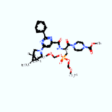 CCCCOC(=O)N1CCN(C(=O)[C@H](CP(=O)(OCOC(=O)OCC)OCOC(=O)OCC)NC(=O)c2cc(N3C[C@@H]4[C@H](C3)[C@H]4C(=O)OCC)nc(-c3ccccc3)n2)CC1